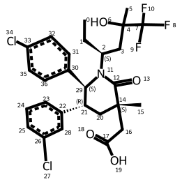 CC[C@@H](CC(C)(O)C(F)(F)F)N1C(=O)[C@](C)(CC(=O)O)C[C@H](c2cccc(Cl)c2)[C@H]1c1ccc(Cl)cc1